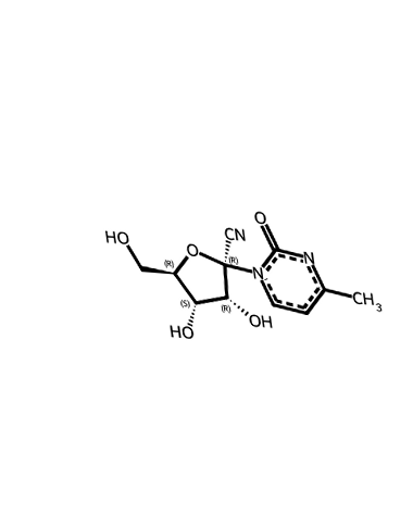 Cc1ccn([C@]2(C#N)O[C@H](CO)[C@@H](O)[C@H]2O)c(=O)n1